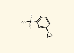 FC(F)(F)C(F)(F)c1nc[c]c(C2CC2)n1